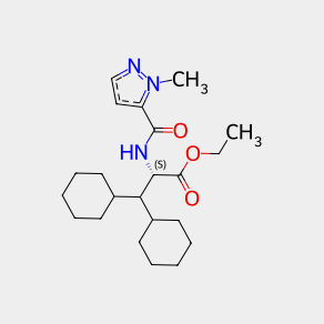 CCOC(=O)[C@@H](NC(=O)c1ccnn1C)C(C1CCCCC1)C1CCCCC1